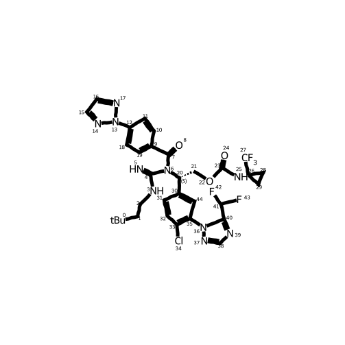 CC(C)(C)CCNC(=N)N(C(=O)c1ccc(-n2nccn2)cc1)[C@H](COC(=O)NC1(C(F)(F)F)CC1)c1ccc(Cl)c(-n2ncnc2C(F)F)c1